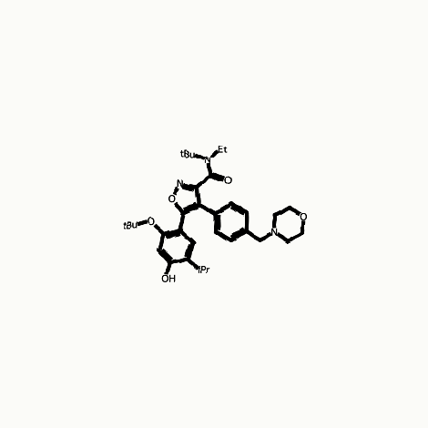 CCN(C(=O)c1noc(-c2cc(C(C)C)c(O)cc2OC(C)(C)C)c1-c1ccc(CN2CCOCC2)cc1)C(C)(C)C